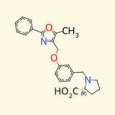 Cc1oc(-c2ccccc2)nc1COc1cccc(CN2CCC[C@@H]2C(=O)O)c1